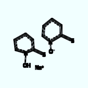 On1ccccc1=S.[Na+].[O-]n1ccccc1=S